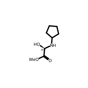 COC(=O)[C@@H](O)NC1CCCC1